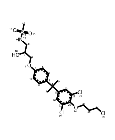 CC(C)(c1ccc(OCC(O)CNS(C)(=O)=O)cc1)c1cc(Cl)c(OCCCCl)c(Cl)c1